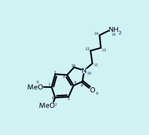 COc1cc2c(cc1OC)C(=O)N(CCCCN)C2